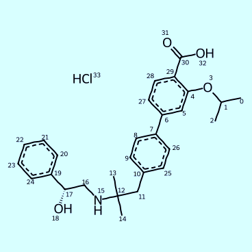 CC(C)Oc1cc(-c2ccc(CC(C)(C)NC[C@H](O)c3ccccc3)cc2)ccc1C(=O)O.Cl